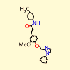 COc1cc(/C=C/C(=O)NC2CCC(C)CC2)ccc1OCCc1nccn1-c1ccccc1